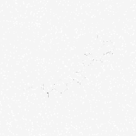 Cc1ccnc(Nc2cccc(-c3cnc(C4CCN(C(=O)NCCO)CC4)s3)n2)c1